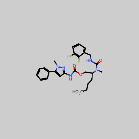 CN(C(=O)NCc1cccc(F)c1F)[C@@H](CCCC(=O)O)COC(=O)Nc1cc(-c2ccccc2)n(C)n1